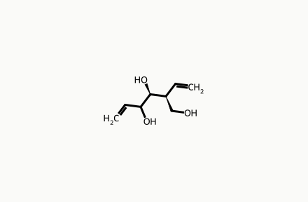 C=CC(O)[C@@H](O)[C@@H](C=C)CO